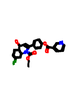 CCOC(=O)n1c(-c2ccc(OC(=O)c3cccnc3)cc2)cc(=O)c2ccc(F)cc21